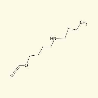 CCCCNCCCCOC=O